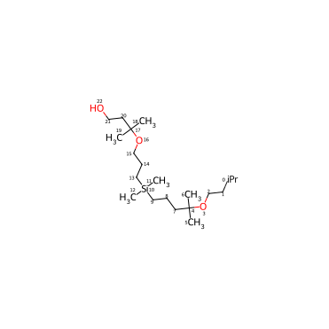 CC(C)CCOC(C)(C)CCC[Si](C)(C)CCCOC(C)(C)CCO